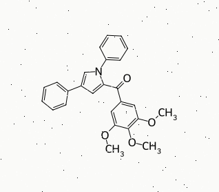 COc1cc(C(=O)c2cc(-c3ccccc3)cn2-c2ccccc2)cc(OC)c1OC